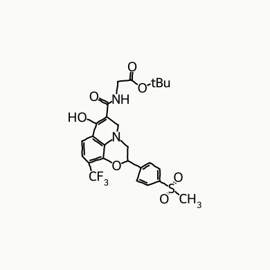 CC(C)(C)OC(=O)CNC(=O)C1=C(O)c2ccc(C(F)(F)F)c3c2N(C1)CC(c1ccc(S(C)(=O)=O)cc1)O3